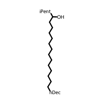 CCCCCCCCCCCCCCCCCCCCCCCC(O)C(C)CCC